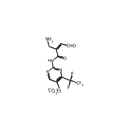 CCOC(=O)c1cnc(NC(=O)/C(=C\C=O)CN)nc1C(F)(F)C(F)(F)F